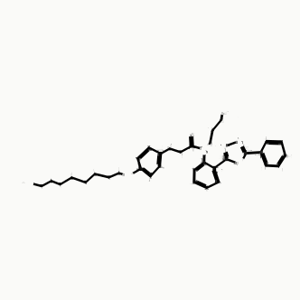 CCCCCCCCCCCCCCCCCCOc1ccc(CCC(=O)N(CCCC(=O)OCC)c2ccccc2-c2nnc(-c3ccccc3)o2)cc1